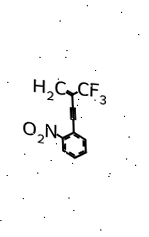 C=C(C#Cc1ccccc1[N+](=O)[O-])C(F)(F)F